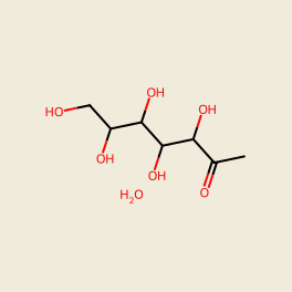 CC(=O)C(O)C(O)C(O)C(O)CO.O